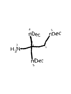 CCCCCCCCCCCC(N)(CCCCCCCCCC)CCCCCCCCCC